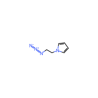 [N-]=[N+]=NCCn1cccc1